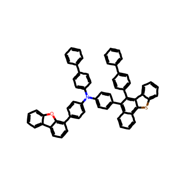 c1ccc(-c2ccc(-c3c(-c4ccc(N(c5ccc(-c6ccccc6)cc5)c5ccc(-c6cccc7c6oc6ccccc67)cc5)cc4)c4ccccc4c4sc5ccccc5c34)cc2)cc1